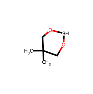 CC1(C)COBOC1